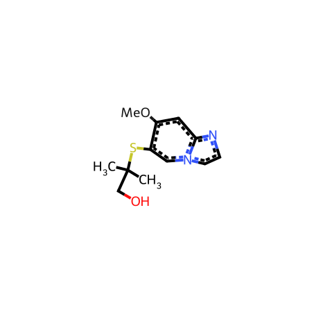 COc1cc2nccn2cc1SC(C)(C)CO